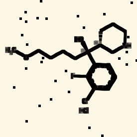 COCCCC[C@@](O)(c1cccc(Cl)c1F)[C@@H]1CCCNC1.Cl